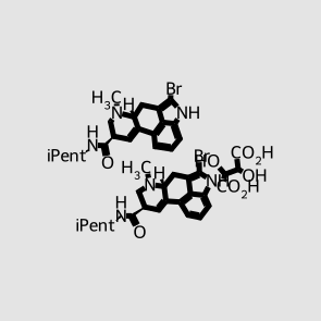 CCC[C@@H](C)NC(=O)[C@@H]1C=C2c3cccc4[nH]c(Br)c(c34)C[C@H]2N(C)C1.CCC[C@@H](C)NC(=O)[C@@H]1C=C2c3cccc4[nH]c(Br)c(c34)C[C@H]2N(C)C1.O=C(O)C(O)C(O)C(=O)O